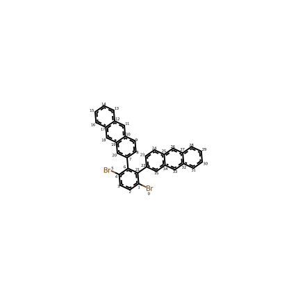 Brc1ccc(Br)c(-c2ccc3cc4ccccc4cc3c2)c1-c1ccc2cc3ccccc3cc2c1